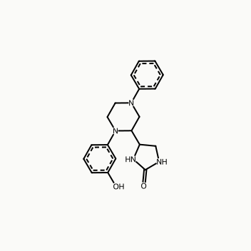 O=C1NCC(C2CN(c3ccccc3)CCN2c2cccc(O)c2)N1